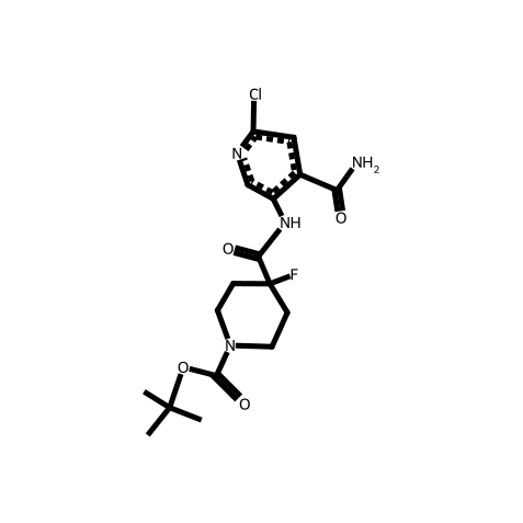 CC(C)(C)OC(=O)N1CCC(F)(C(=O)Nc2cnc(Cl)cc2C(N)=O)CC1